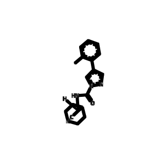 Cc1ccccc1-c1cnn(C(=O)N[C@H]2CN3CCC2CC3)c1